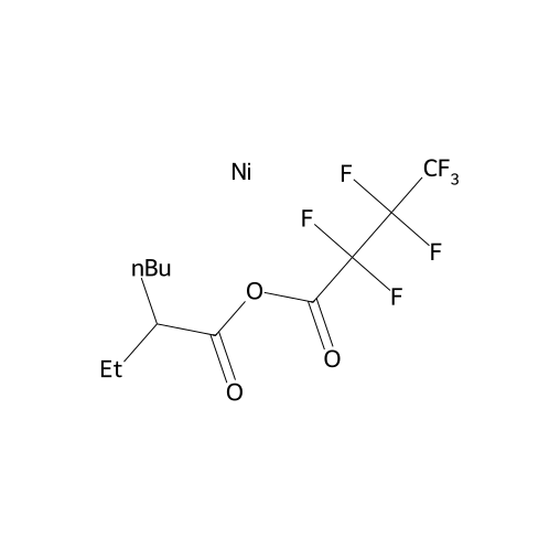 CCCCC(CC)C(=O)OC(=O)C(F)(F)C(F)(F)C(F)(F)F.[Ni]